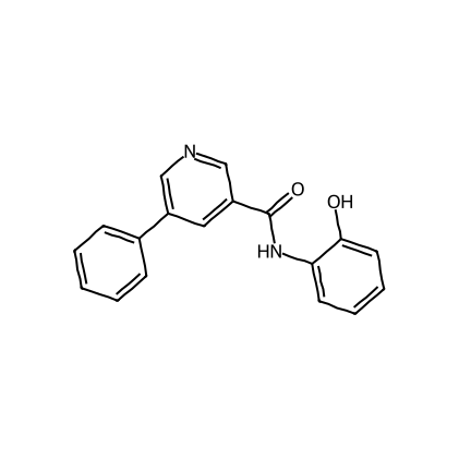 O=C(Nc1ccccc1O)c1cncc(-c2ccccc2)c1